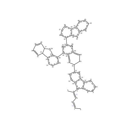 C/C=C\C=C(/C)n1c2ccccc2c2cc(C3C=c4c(-c5cccc6c5SC5C=CC=CC65)nc(-c5cccc6c5sc5ccccc56)nc4=CC3)ccc21